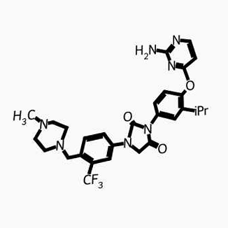 CC(C)c1cc(N2C(=O)CN(c3ccc(CN4CCN(C)CC4)c(C(F)(F)F)c3)C2=O)ccc1Oc1ccnc(N)n1